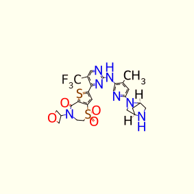 Cc1cc(N2C[C@H]3C[C@@H]2CN3)ncc1Nc1ncc(C(F)(F)F)c(-c2cc3c(s2)C(=O)N(C2COC2)CCS3(=O)=O)n1